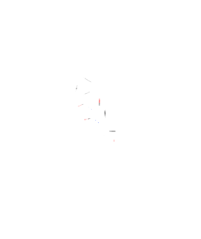 C=C[C@]1(O)[C@H](n2ccc(=O)n(C(=O)c3ccccc3)c2=O)O[C@](F)(CO)[C@H]1O